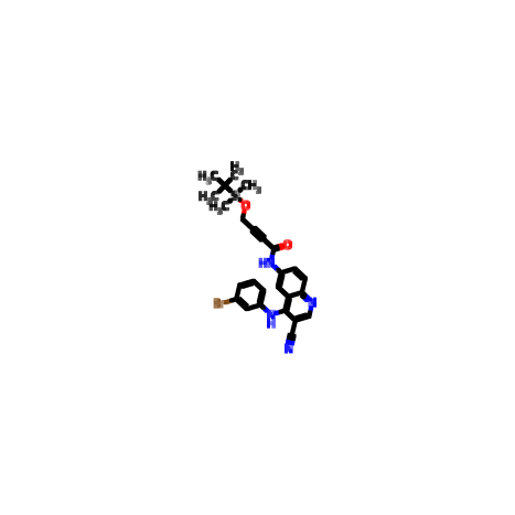 CC(C)(C)[Si](C)(C)OCC#CC(=O)Nc1ccc2ncc(C#N)c(Nc3cccc(Br)c3)c2c1